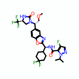 COC[C@H](c1ccc2oc([C@@H](NC(=O)c3c(F)cnn3C(C)C)C3CCC(F)(F)CC3)nc2c1)N1C[C@@H](C(F)(F)F)NC1=O